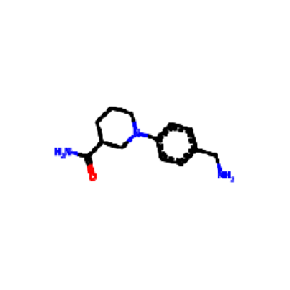 NCc1ccc(N2CCCC(C(N)=O)C2)cc1